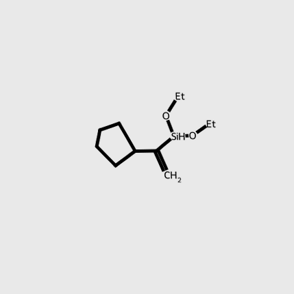 C=C(C1CCCC1)[SiH](OCC)OCC